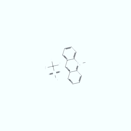 C[n+]1c2ccccc2cc2ccccc21.O=S(=O)([O-])C(F)(F)F